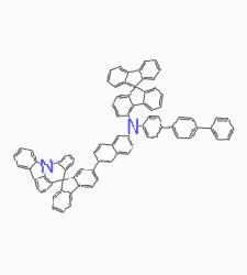 c1ccc(-c2ccc(-c3ccc(N(c4ccc5cc(-c6ccc7c(c6)C6(c8ccccc8-7)c7ccccc7-n7c8ccccc8c8cccc6c87)ccc5c4)c4cccc5c4-c4ccccc4C54c5ccccc5-c5ccccc54)cc3)cc2)cc1